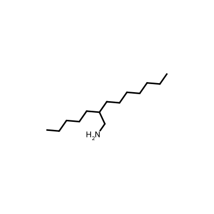 CCCCCCCC(CN)CCCCC